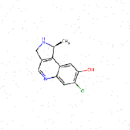 C[C@@H]1NCc2cnc3cc(Cl)c(O)cc3c21